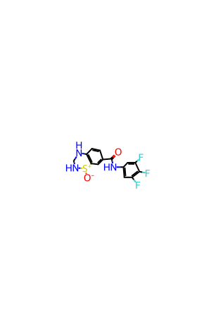 O=C(Nc1cc(F)c(F)c(F)c1)c1ccc2c(c1)[S+]([O-])NCN2